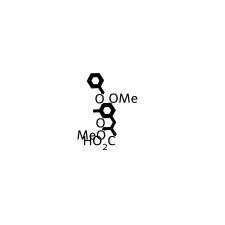 COC(=O)C(CC(=O)O)Cc1cc(C)c(OCc2ccccc2)c(OC)c1